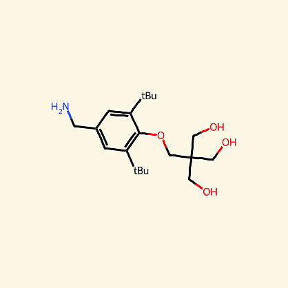 CC(C)(C)c1cc(CN)cc(C(C)(C)C)c1OCC(CO)(CO)CO